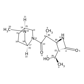 C[C@@H](O)[C@H]1C(=O)N[C@@H]1[C@@H](C)C(=O)N1C[C@@H]2CC[C@H]1CN2C